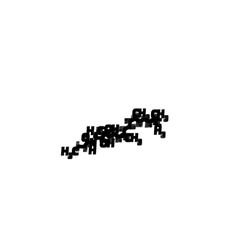 CCCC(=O)NCC(O)C(C)(O)CCCC(C)CCCC(C)CCCC(C)C